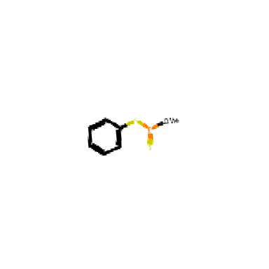 CO[P](=S)Sc1ccccc1